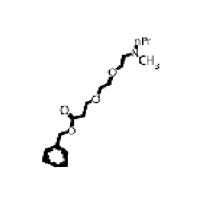 CCCN(C)CCOCCOCCC(=O)OCc1ccccc1